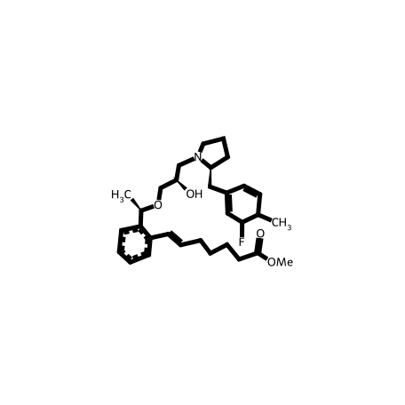 COC(=O)CCCC/C=C/c1ccccc1[C@@H](C)OC[C@H](O)CN1CCC[C@H]1CC1=CC(F)C(C)C=C1